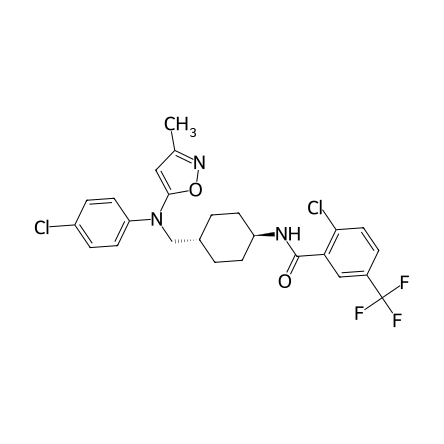 Cc1cc(N(C[C@H]2CC[C@H](NC(=O)c3cc(C(F)(F)F)ccc3Cl)CC2)c2ccc(Cl)cc2)on1